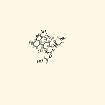 CC(CO)Oc1nc(N2C3CCC2CNC3)c2c3c(c(-c4ccc(F)c5sc(N)c(C#N)c45)c(Cl)c2n1)COC3